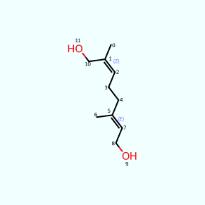 C/C(=C/CC/C(C)=C/CO)CO